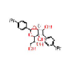 CC(C)c1ccc(C2O[C@H]([C@H](O)CO)[C@@]3(O)C(c4ccc(C(C)C)cc4)C(O)[C@@H]3O2)cc1